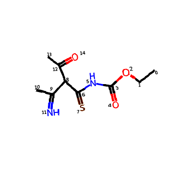 CCOC(=O)NC(=S)C(C(C)=N)C(C)=O